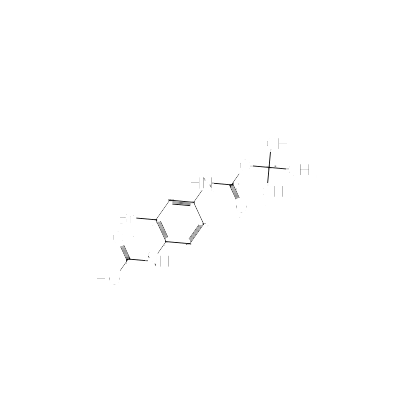 CC(C)(C)OC(=O)Nc1ccc(NC(=O)O)c(Br)c1